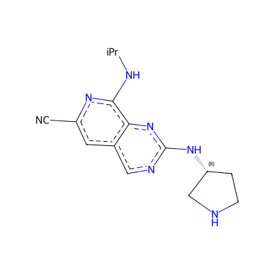 CC(C)Nc1nc(C#N)cc2cnc(N[C@@H]3CCNC3)nc12